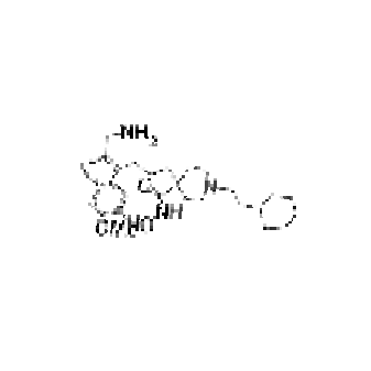 COc1ccc2ncc(CN)c(CCCC3(C(=O)NO)CCN(CCC4CCCCC4)CC3)c2c1